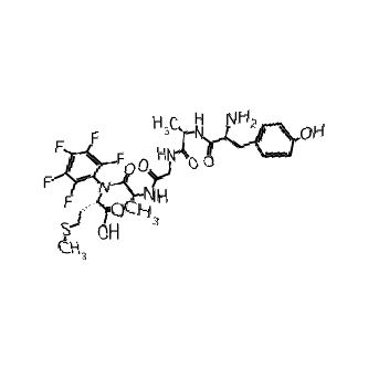 CSCC[C@@H](C(=O)O)N(C(=O)[C@H](C)NC(=O)CNC(=O)[C@@H](C)NC(=O)[C@@H](N)Cc1ccc(O)cc1)c1c(F)c(F)c(F)c(F)c1F